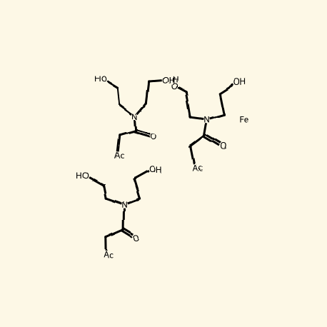 CC(=O)CC(=O)N(CCO)CCO.CC(=O)CC(=O)N(CCO)CCO.CC(=O)CC(=O)N(CCO)CCO.[Fe]